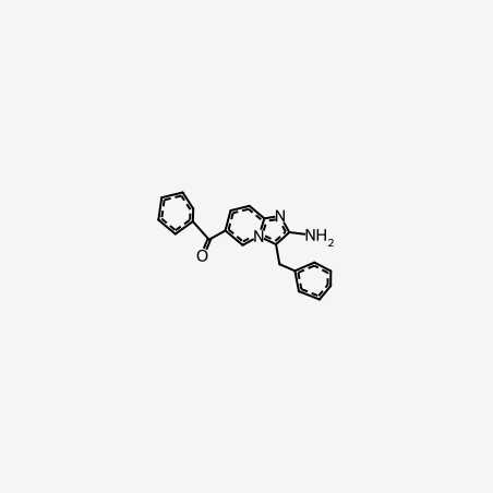 Nc1nc2ccc(C(=O)c3ccccc3)cn2c1Cc1ccccc1